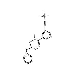 CN(CC(O)Cc1ccccc1)C(=O)c1cncc(C#C[Si](C)(C)C)c1